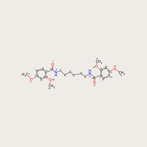 COc1ccc(C(=O)NCCCCCCNC(=O)c2ccc(OC)cc2OC)c(OC)c1